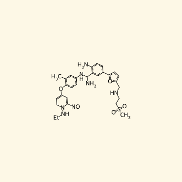 CCNN1CC=C(Oc2ccc(NC(N)c3cc(-c4ccc(CNCCS(C)(=O)=O)o4)ccc3N)cc2C)C=C1N=O